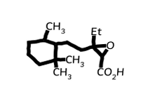 CCC1(CCC2C(C)CCCC2(C)C)OC1C(=O)O